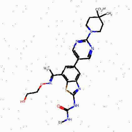 CCNC(=O)Nc1nc2cc(-c3cnc(N4CCC(C)(C(=O)O)CC4)nc3)cc(C(C)=NOCCO)c2s1